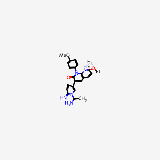 CCO[C@@]1(C)C=Cc2cc(-c3ccc(=N)n(C(C)N)c3)c(=O)n(-c3ccc(OC)cc3)c2N1